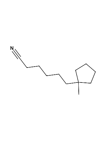 CC1(CCCCCC#N)CCCC1